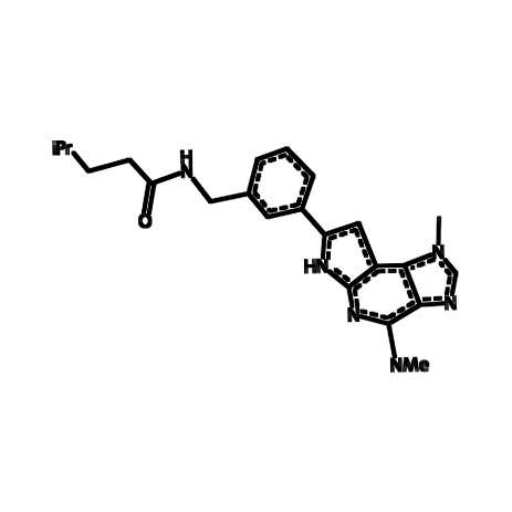 CNc1nc2[nH]c(-c3cccc(CNC(=O)CCC(C)C)c3)cc2c2c1ncn2C